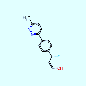 Cc1ccc(-c2ccc(C(F)/C=C\O)cc2)nn1